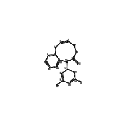 C=C1CC/C=C\Cc2ccccc2N1[C@H]1C=C(C)C=C(C)C1